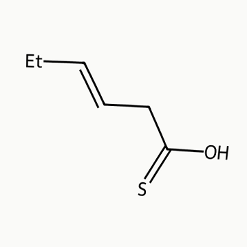 CCC=CCC(O)=S